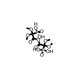 COC(OC)(C(=O)OC(=O)C(OC)(OC)P(=O)(O)O)P(=O)(O)O